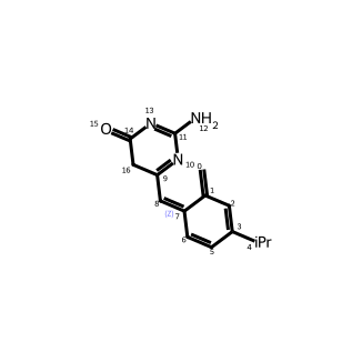 C=c1cc(C(C)C)cc/c1=C/C1=NC(N)=NC(=O)C1